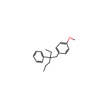 [CH2]CC(CCC)(Cc1ccc(OC)cc1)c1ccccc1